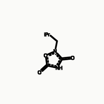 CC(C)Cn1oc(=O)[nH]c1=O